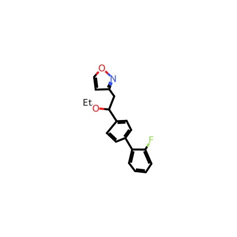 CCOC(Cc1ccon1)c1ccc(-c2ccccc2F)cc1